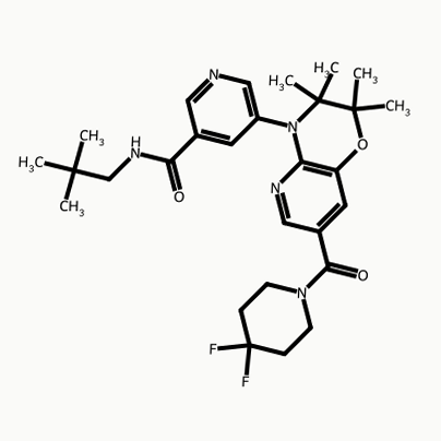 CC(C)(C)CNC(=O)c1cncc(N2c3ncc(C(=O)N4CCC(F)(F)CC4)cc3OC(C)(C)C2(C)C)c1